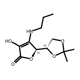 CCCNC1=C(O)C(=O)O[C@@H]1[C@@H]1COC(C)(C)O1